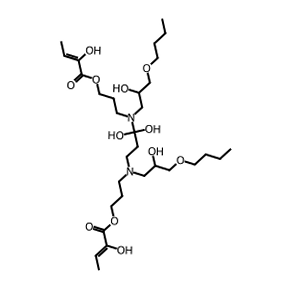 CC=C(O)C(=O)OCCCN(CCC(O)(O)N(CCCOC(=O)C(O)=CC)CC(O)COCCCC)CC(O)COCCCC